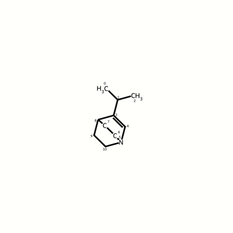 CC(C)C1=CN2CCC1CC2